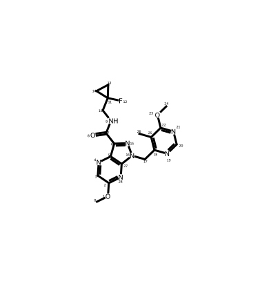 COc1cnc2c(C(=O)NCC3(F)CC3)nn(Cc3ncnc(OC)c3C)c2n1